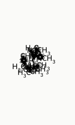 Cc1ccc(-c2c(Cl)nc(C#N)n2S(=O)(=O)N(C)C)cc1.Cc1ccc([C@H](C)NC(=O)C(NC(=O)OC(C)C)C(C)C)cc1